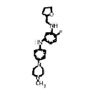 CN1CCN(c2ccc(Nc3ccc(F)c(NCC4CCCO4)c3)cc2)CC1